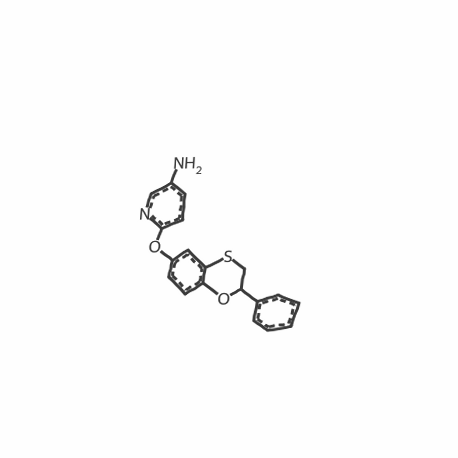 Nc1ccc(Oc2ccc3c(c2)SCC(c2ccccc2)O3)nc1